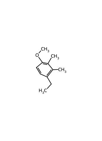 CCc1ccc(OC)c(C)c1C